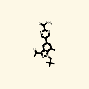 CC(=O)c1nn(CC(C)(C)C)c2c(C)cc(-c3cnc(C(N)=O)nc3)cc12